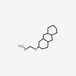 COCOC1CCC2CC3CCCCC3CC2C1